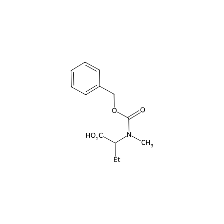 CCC(C(=O)O)N(C)C(=O)OCc1ccccc1